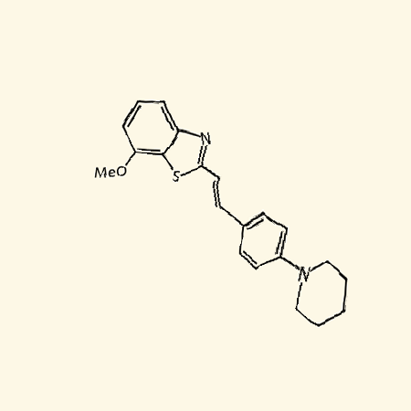 COc1cccc2nc(C=Cc3ccc(N4CCCCC4)cc3)sc12